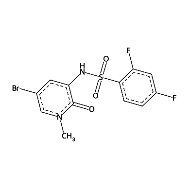 Cn1cc(Br)cc(NS(=O)(=O)c2ccc(F)cc2F)c1=O